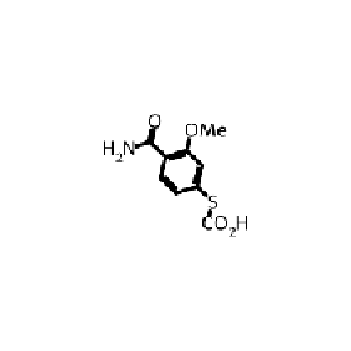 COc1cc(SC(=O)O)ccc1C(N)=O